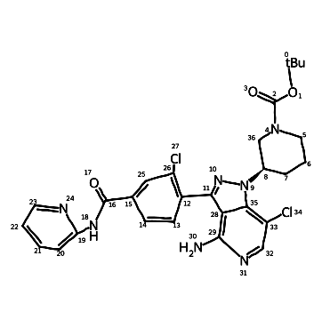 CC(C)(C)OC(=O)N1CCC[C@@H](n2nc(-c3ccc(C(=O)Nc4ccccn4)cc3Cl)c3c(N)ncc(Cl)c32)C1